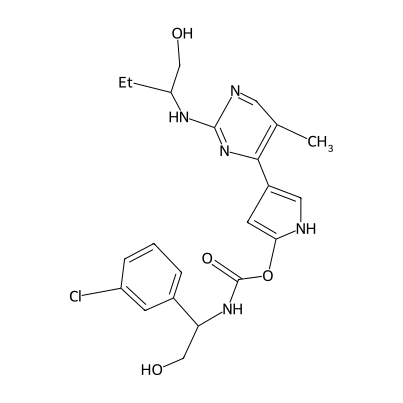 CCC(CO)Nc1ncc(C)c(-c2c[nH]c(OC(=O)NC(CO)c3cccc(Cl)c3)c2)n1